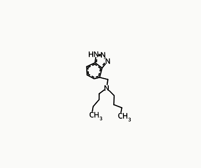 CCCCN(CCCC)Cc1cccc2[nH]nnc12